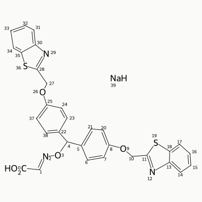 O=C(O)C=NOC(c1ccc(OCc2nc3ccccc3s2)cc1)c1ccc(OCc2nc3ccccc3s2)cc1.[NaH]